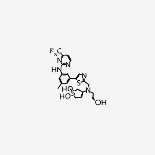 Cc1cc(Nc2nccc(C(F)(F)F)n2)cc(-c2cnc(CN(CCO)C3CCS(O)(O)C3)s2)c1